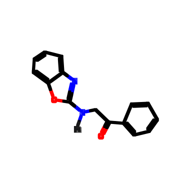 CCN(CC(=O)c1ccccc1)c1nc2ccccc2o1